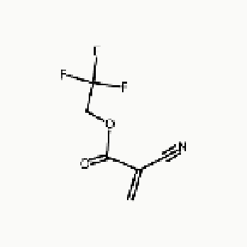 C=C(C#N)C(=O)OCC(F)(F)F